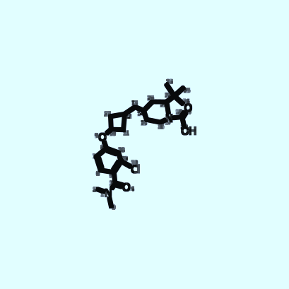 CN(C)C(=O)c1ccc(OC2CC(CC3CCN(C(=O)O)C(C(C)(C)C)C3)C2)cc1Cl